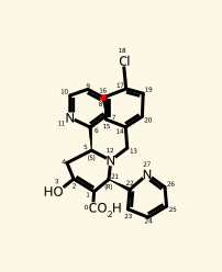 O=C(O)C1=C(O)C[C@@H](c2ccccn2)N(Cc2ccc(Cl)cc2)[C@H]1c1ccccn1